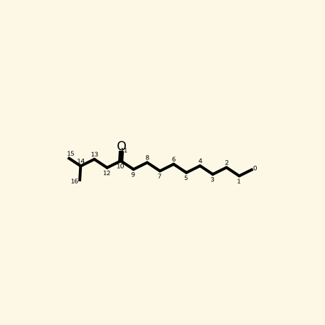 CCCCCCCCCCC(=O)CCC(C)C